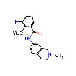 COc1c(I)cccc1C(=O)Nc1ccc2c(c1)CN(C)CC2